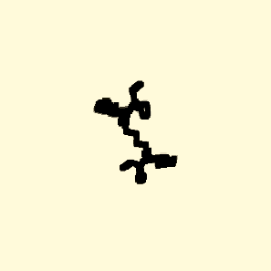 C=CC(=O)N(CCCCN(C(=O)C=C)C(C)(C)C)C(C)(C)C